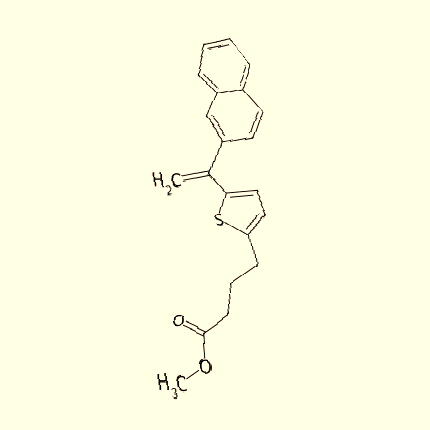 C=C(c1ccc2ccccc2c1)c1ccc(CCCC(=O)OC)s1